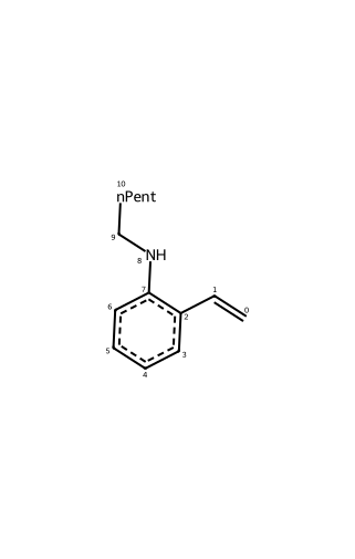 C=Cc1ccccc1NCCCCCC